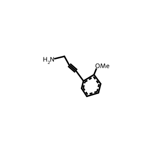 COc1ccccc1C#CCN